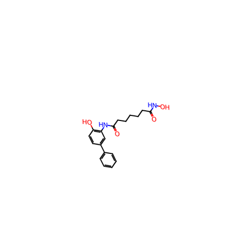 O=C(CCCCCC(=O)Nc1cc(-c2ccccc2)ccc1O)NO